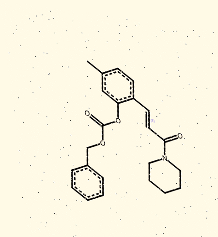 Cc1ccc(/C=C/C(=O)N2CCCCC2)c(OC(=O)OCc2ccccc2)c1